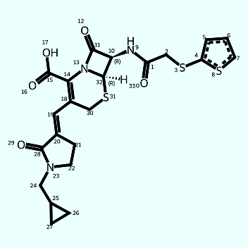 O=C(CSc1cccs1)N[C@@H]1C(=O)N2C(C(=O)O)=C(C=C3CCN(CC4CC4)C3=O)CS[C@H]12